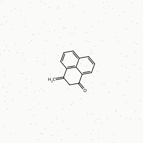 C=C1CC(=O)c2cccc3cccc1c23